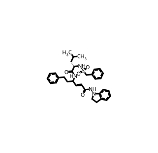 CC(C)C[C@H](NS(=O)(=O)Cc1ccccc1)C(=O)NC(C=CC(=O)NN1CCc2ccccc21)CCc1ccccc1